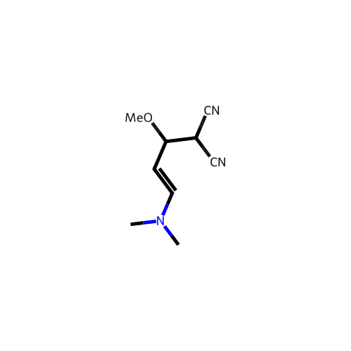 COC(C=CN(C)C)C(C#N)C#N